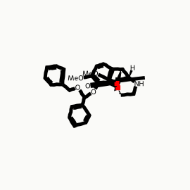 COC1=CC2[C@@H]3Cc4ccc(OC)c(OC(OCc5ccccc5)c5ccccc5)c4[C@]2(CCN3)CC1=O